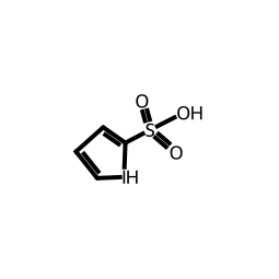 O=S(=O)(O)C1=CC=C[IH]1